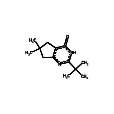 CC1(C)Cc2nc(C(C)(C)C)[nH]c(=O)c2C1